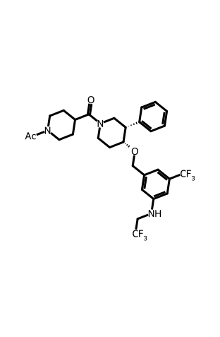 CC(=O)N1CCC(C(=O)N2CC[C@@H](OCc3cc(NCC(F)(F)F)cc(C(F)(F)F)c3)[C@@H](c3ccccc3)C2)CC1